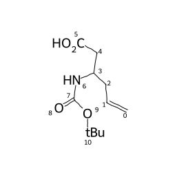 C=CCC(CC(=O)O)NC(=O)OC(C)(C)C